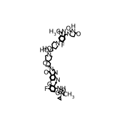 CN(C1CC1)S(=O)(=O)Nc1ccc(F)c(Oc2ccc3ncn([C@H]4COC5(CCN(C(O)CC6(O)CCN(c7cc8c(cc7F)c(N7CCC(=O)NC7=O)nn8C)CC6)CC5)C4)c(=O)c3c2)c1C#N